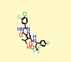 CC(C)c1c(C(=O)N[C@@H](c2ccc(F)cc2)[C@@H](O)C(F)(F)F)cn2nc(-c3ccc(Cl)c(F)c3)[nH]c(=O)c12